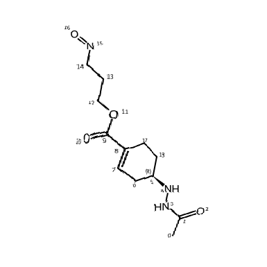 CC(=O)NN[C@H]1CC=C(C(=O)OCCCN=O)CC1